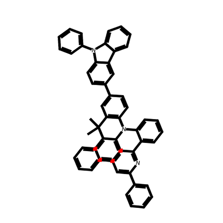 CC1(C)c2ccccc2N(c2ccccc2-c2nc(-c3ccccc3)cc(-c3ccccc3)n2)c2ccc(-c3ccc4c(c3)c3ccccc3n4-c3ccccc3)cc21